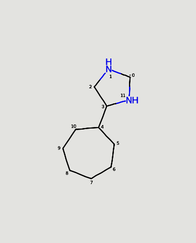 [CH]1NCC(C2CCCCCC2)N1